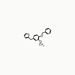 COc1cc(Cc2cccs2)ccc1OCc1ccccc1